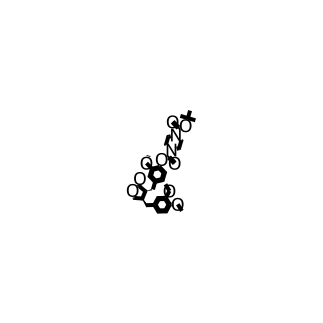 COc1ccc(C[C@H]2COC(=O)[C@@H]2Cc2ccc(OC(=O)N3CCN(C(=O)OC(C)(C)C)CC3)c(OC)c2)cc1OC